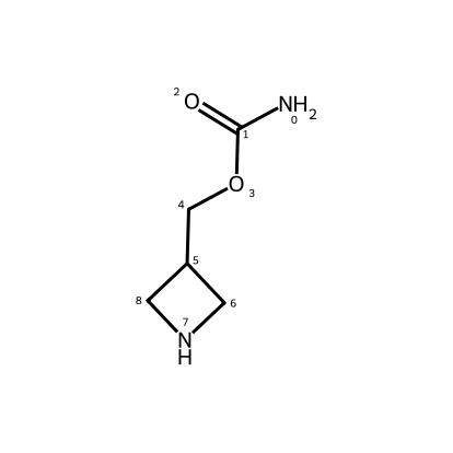 NC(=O)OCC1CNC1